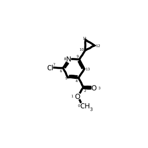 COC(=O)c1cc(Cl)nc(C2CC2)c1